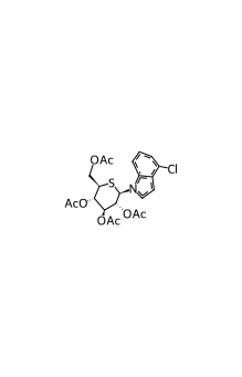 CC(=O)OC[C@H]1S[C@@H](n2ccc3c(Cl)cccc32)[C@H](OC(C)=O)[C@@H](OC(C)=O)[C@@H]1OC(C)=O